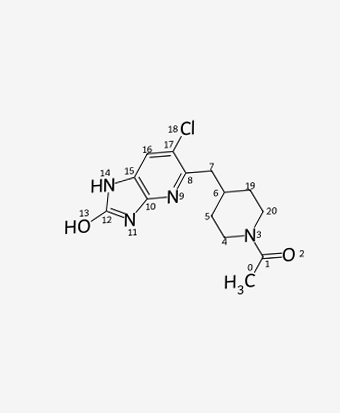 CC(=O)N1CCC(Cc2nc3nc(O)[nH]c3cc2Cl)CC1